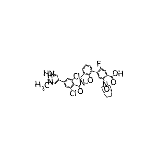 CN/C=C(\C=N)c1cc(Cl)c(C(=O)N2COc3c(cccc3-c3cc(N4CC5CCC(C4)O5)c(C(=O)O)cc3F)C2)c(Cl)c1